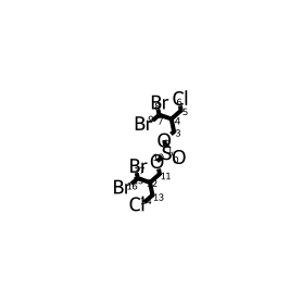 O=S(OCC(CCl)C(Br)Br)OCC(CCl)C(Br)Br